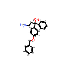 NCCC(O)(c1ccccc1)c1ccc(OCc2ccccc2)cc1